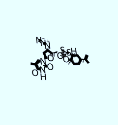 C=C(C)[C@H]1CC[C@@]2(C)O[P@](=S)(OC[C@H]3O[C@@H](n4cc(C)c(=O)[nH]c4=O)C[C@@H]3N=[N+]=[N-])S[C@@H]2C1